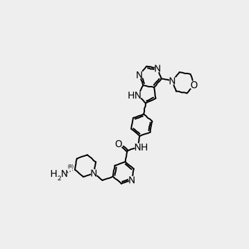 N[C@@H]1CCCN(Cc2cncc(C(=O)Nc3ccc(-c4cc5c(N6CCOCC6)ncnc5[nH]4)cc3)c2)C1